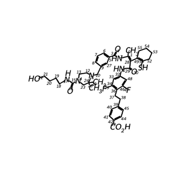 C/C(NC(=O)c1cccc(CN2CCN(C(=O)NCCCCO)CC2(C)C)c1)=C(/C(=O)Nc1cc(F)c(CCc2ccc(C(=O)O)cc2)c(F)c1)C1=C(S)CCCC1